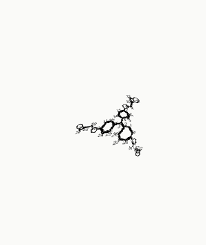 C1=CC(C(c2ccc(OCC3CO3)cc2)c2ccc(OCC3CO3)cc2)=CCC=C1OC[C@@H]1CO1